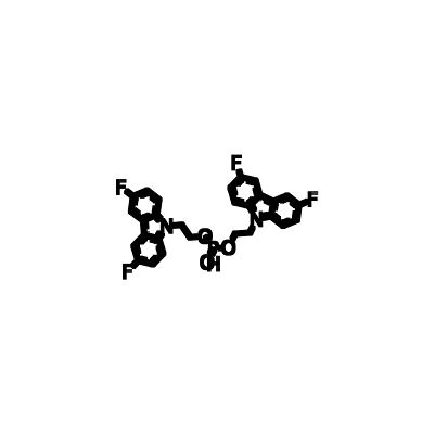 O=[PH](OCCn1c2ccc(F)cc2c2cc(F)ccc21)OCCn1c2ccc(F)cc2c2cc(F)ccc21